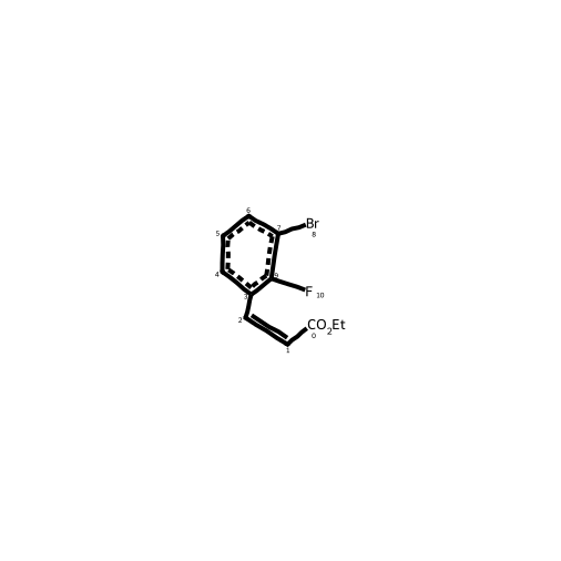 CCOC(=O)/C=C\c1cccc(Br)c1F